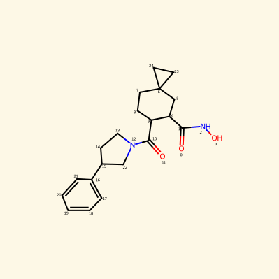 O=C(NO)C1CC2(CCC1C(=O)N1CCC(c3ccccc3)C1)CC2